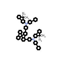 CC1(C)c2ccccc2-c2ccc(N(c3ccc(-c4ccccc4)cc3)c3ccc(-c4ccc5c(c4)C4(c6ccccc6-c6ccccc64)c4cccc(-c6ccc(N(c7ccc(-c8ccccc8)cc7)c7ccc8c(c7)C(C)(C)c7ccccc7-8)cc6)c4-5)cc3)cc21